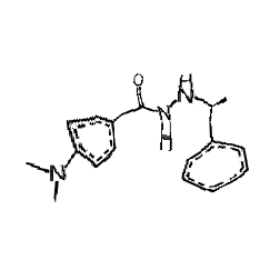 C[C@H](NNC(=O)c1ccc(N(C)C)cc1)c1ccccc1